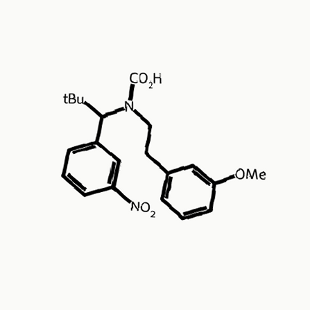 COc1cccc(CCN(C(=O)O)C(c2cccc([N+](=O)[O-])c2)C(C)(C)C)c1